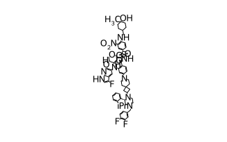 CC(C)c1ccccc1[C@@H]1CN(Cc2ccc(F)c(F)c2)CCN1C1CC2(CCN(c3ccc(C(=O)NS(=O)(=O)c4ccc(NCC5CCC(C)(O)CC5)c([N+](=O)[O-])c4)c(N4c5cc6c(F)c[nH]c6nc5O[C@H]5COCC[C@@H]54)c3)CC2)C1